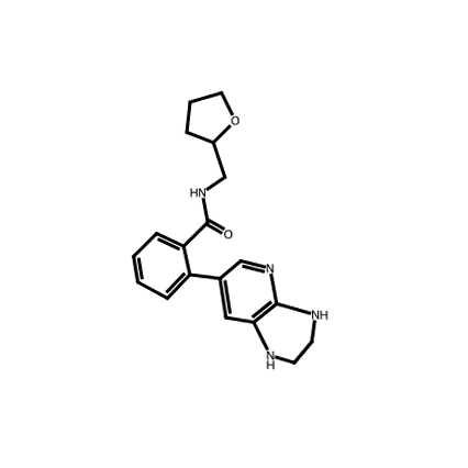 O=C(NCC1CCCO1)c1ccccc1-c1cnc2c(c1)NCCN2